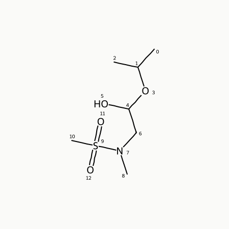 CC(C)OC(O)CN(C)S(C)(=O)=O